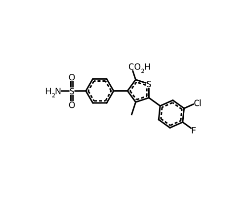 Cc1c(-c2ccc(F)c(Cl)c2)sc(C(=O)O)c1-c1ccc(S(N)(=O)=O)cc1